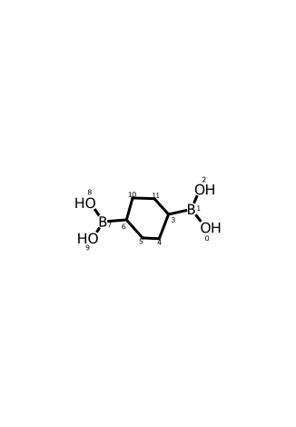 OB(O)C1CCC(B(O)O)CC1